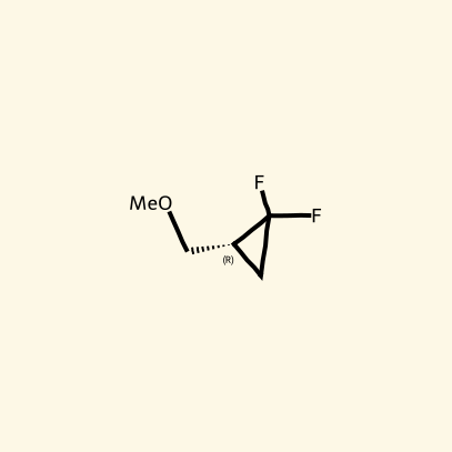 COC[C@H]1CC1(F)F